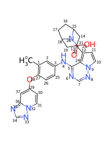 Cc1cc(Nc2ncnn3ccc(C4CC5CCC(C4)N5C(=O)O)c23)ccc1Oc1ccn2ncnc2c1